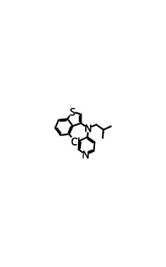 CC(C)CN(c1ccncc1)c1csc2cccc(Cl)c12